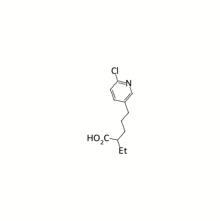 CCC(CCCc1ccc(Cl)nc1)C(=O)O